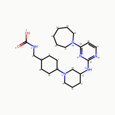 O=C(O)NCC1CCC(N2CCCC(Nc3nccc(N4CCCCCC4)n3)C2)CC1